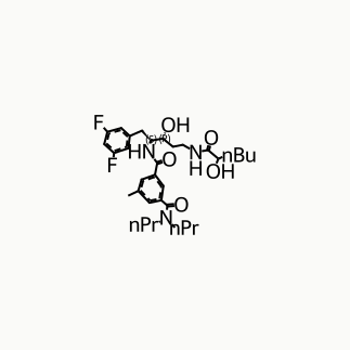 CCCCC(O)C(=O)NCC[C@@H](O)[C@H](Cc1cc(F)cc(F)c1)NC(=O)c1cc(C)cc(C(=O)N(CCC)CCC)c1